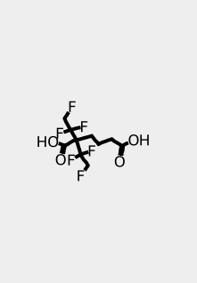 O=C(O)CCCC(C(=O)O)(C(F)(F)CF)C(F)(F)CF